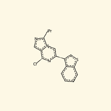 CC(C)c1ncc2c(Cl)nc(-c3csc4ccccc34)cn12